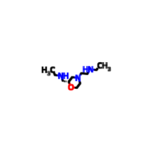 CCNCCN1CCO[C@H](CNCC)C1